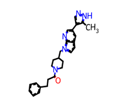 Cc1[nH]ncc1-c1cnc2c(ccn2CC2CCN(C(=O)CCc3ccccc3)CC2)c1